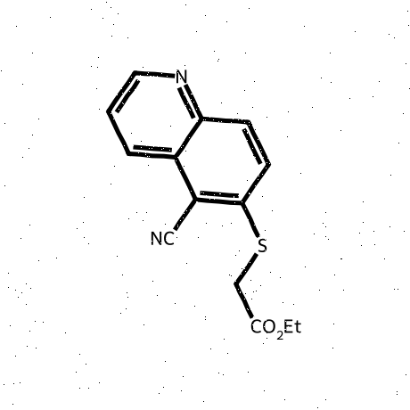 CCOC(=O)CSc1ccc2ncccc2c1C#N